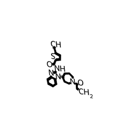 C#Cc1ccc(C(=O)Nc2nc3ccccc3n2[C@@H]2CCCN(C(=O)C=C)CC2)s1